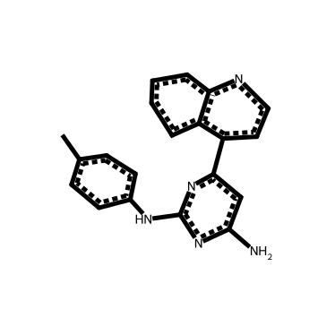 Cc1ccc(Nc2nc(N)cc(-c3ccnc4ccccc34)n2)cc1